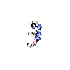 CCCc1c(Cn2ccnc2-c2ncccc2F)ncn2nc(COCC(F)(F)F)nc12